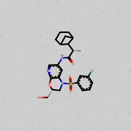 C[C@H](C(=O)Nc1cnc2c(c1)N(S(=O)(=O)c1cccc(Cl)c1)C[C@H](CO)O2)C1C2CCCC1C2